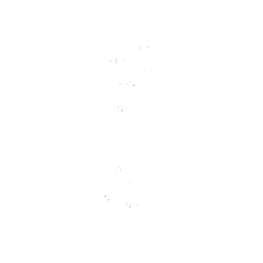 Clc1ccccc1N1CCN(CCCCOc2cccn3ccnc23)CC1